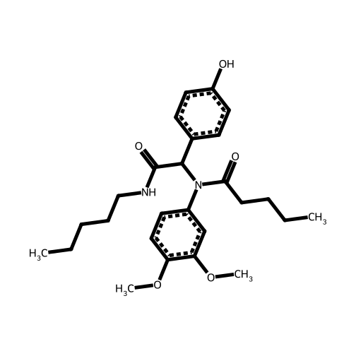 CCCCCNC(=O)C(c1ccc(O)cc1)N(C(=O)CCCC)c1ccc(OC)c(OC)c1